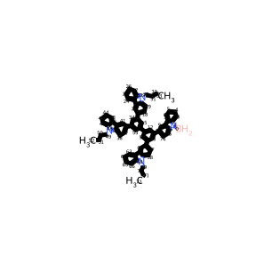 Bn1c2ccccc2c2cc(-c3cc(-c4cc(-c5ccc6c(c5)c5ccccc5n6CCCC)cc(-c5ccc6c(c5)c5ccccc5n6CCCC)c4)cc(-c4ccc5c(c4)c4ccccc4n5CCCC)c3)ccc21